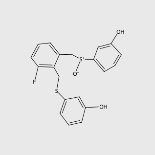 [O-][S+](Cc1cccc(F)c1CSc1cccc(O)c1)c1cccc(O)c1